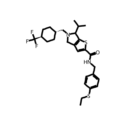 CCSc1ccc(CNC(=O)c2cc3c(s2)C(C(C)C)N(C[C@H]2CC[C@H](C(F)(F)F)CC2)C3)cc1